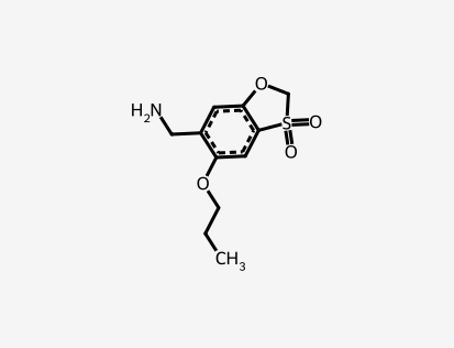 CCCOc1cc2c(cc1CN)OCS2(=O)=O